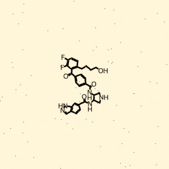 O=C(NC1CNCC1NC(=O)c1ccc2cn[nH]c2c1)c1ccc(C(=O)c2c(CCCCO)ccc(F)c2F)cc1